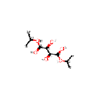 CC(C)OC(=O)C(=O)C(=O)C(=O)OC(C)C